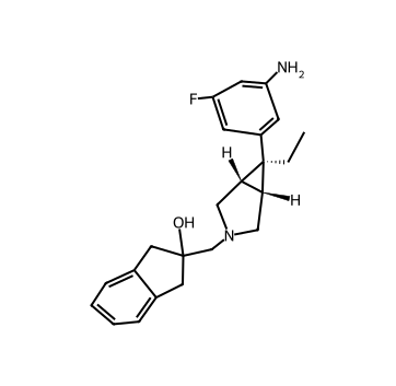 CC[C@]1(c2cc(N)cc(F)c2)[C@@H]2CN(CC3(O)Cc4ccccc4C3)C[C@@H]21